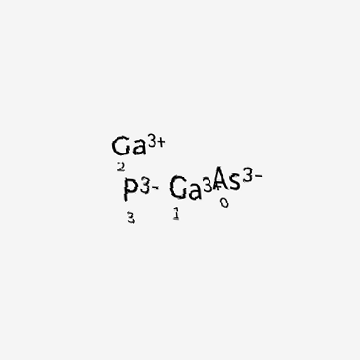 [As-3].[Ga+3].[Ga+3].[P-3]